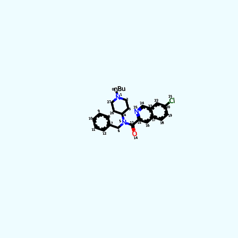 CCCCN1CCC(N(Cc2ccccc2)C(=O)c2cc3ccc(Cl)cc3cn2)CC1